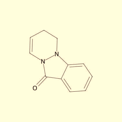 O=c1c2ccccc2n2n1C=CCC2